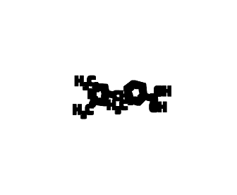 Cc1cc(C)nc(C)c1.Cc1cccc(B(O)O)c1